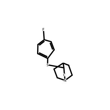 Fc1ccc(SC2CN3CCC2CC3)cc1